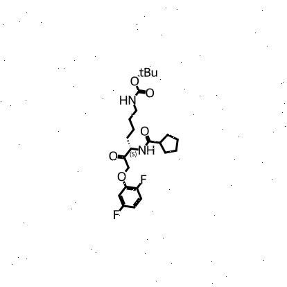 CC(C)(C)OC(=O)NCCCC[C@H](NC(=O)C1CCCC1)C(=O)COc1cc(F)ccc1F